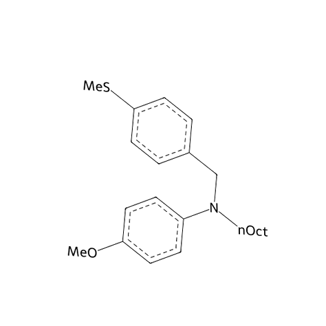 CCCCCCCCN(Cc1ccc(SC)cc1)c1ccc(OC)cc1